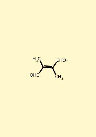 C/C([C]=O)=C(/C)[C]=O